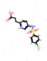 O=C(O)CCc1ccc(NS(=O)(=O)c2ccc(Cl)cc2)cn1